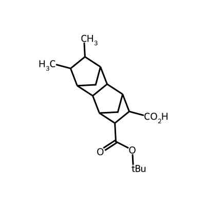 CC1C(C)C2CC1C1C3CC(C(C(=O)OC(C)(C)C)C3C(=O)O)C21